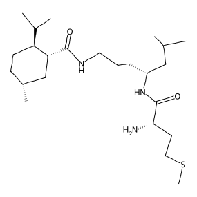 CSCC[C@H](N)C(=O)N[C@H](CCCNC(=O)[C@@H]1C[C@H](C)CC[C@H]1C(C)C)CC(C)C